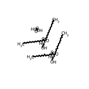 CCCCCCCCCCCCCCCC(=O)C(CNCCO)C(=O)CCCCCCCCCCCCCCC.CCCCCCCCCCCCCCCC(=O)C(CNCCO)C(=O)CCCCCCCCCCCCCCC.O=S(=O)(O)O